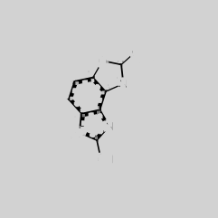 Cc1nc2c3c(ccc2o1)OC(C)N3